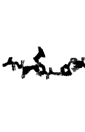 CC(C)NCCNC(=O)c1nc(NC(=O)Nc2ccc(OC(F)(F)F)cc2)cn1CC1CC1